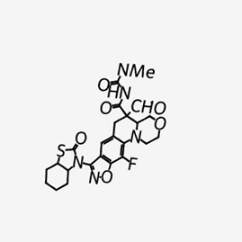 CNC(=O)NC(=O)C1(C=O)Cc2cc3c(N4C(=O)SC5CCCCC54)noc3c(F)c2N2CCO[C@@H](C)C21